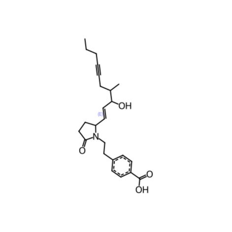 CCCC#CCC(C)C(O)/C=C/C1CCC(=O)N1CCc1ccc(C(=O)O)cc1